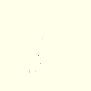 Cn1ccc(C(=O)Cc2ccsc2)n1